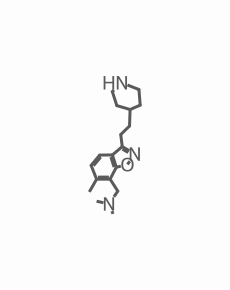 Cc1ccc2c(CCC3CCNCC3)noc2c1CN(C)C